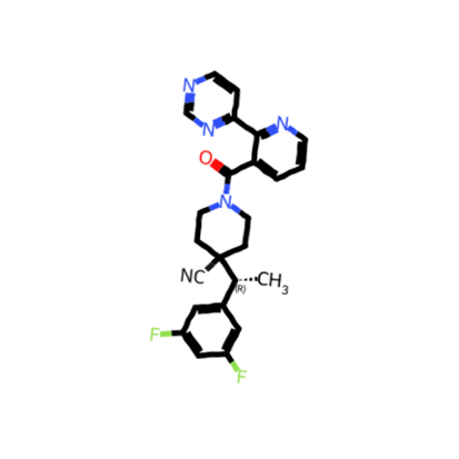 C[C@H](c1cc(F)cc(F)c1)C1(C#N)CCN(C(=O)c2cccnc2-c2ccncn2)CC1